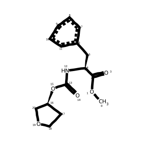 COC(=O)[C@H](Cc1ccccc1)NC(=O)O[C@H]1CCOC1